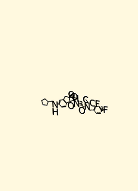 CC(N(Cc1ccc(F)cc1)C(=O)CN1CO[C@]2(C(=O)Cc3cc(NCC4CCCC4)ccc32)C1=O)C(F)(F)F